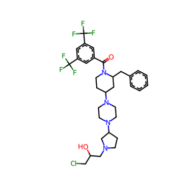 O=C(c1cc(C(F)(F)F)cc(C(F)(F)F)c1)N1CCC(N2CCN(C3CCN(CC(O)CCl)C3)CC2)CC1Cc1ccccc1